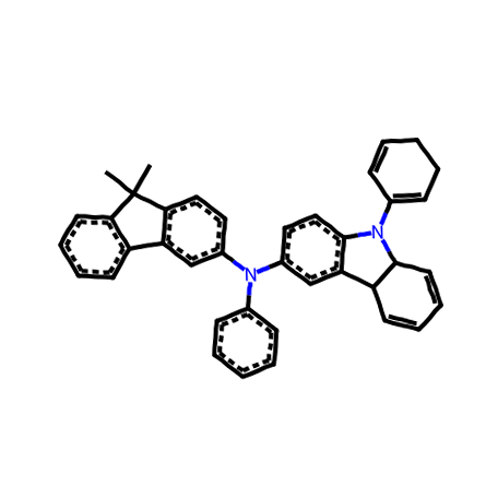 CC1(C)c2ccccc2-c2cc(N(c3ccccc3)c3ccc4c(c3)C3C=CC=CC3N4C3=CCCC=C3)ccc21